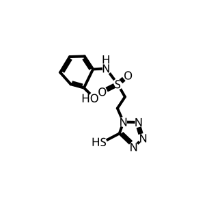 O=S(=O)(CCn1nnnc1S)Nc1ccccc1O